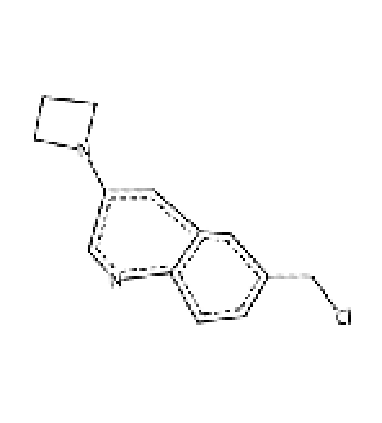 ClCc1ccc2ncc(N3CCC3)cc2c1